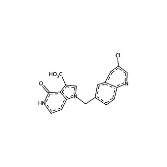 O=C(O)c1cn(Cc2ccc3ncc(Cl)cc3c2)c2cc[nH]c(=O)c12